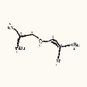 CCCC/C(=C/OCC(CC)CCCC)CC